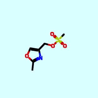 Cc1nc(COS(C)(=O)=O)co1